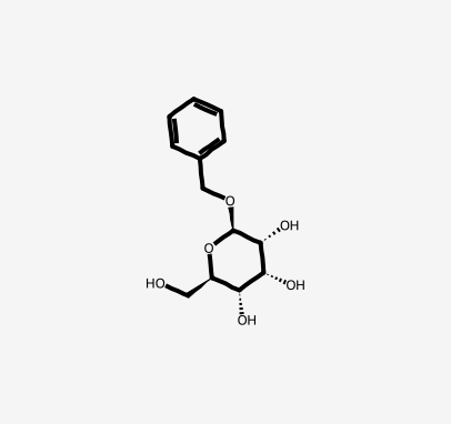 OC[C@H]1O[C@@H](OCc2ccccc2)[C@H](O)[C@H](O)[C@@H]1O